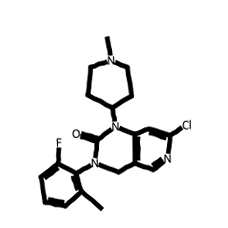 Cc1cccc(F)c1N1Cc2cnc(Cl)cc2N(C2CCN(C)CC2)C1=O